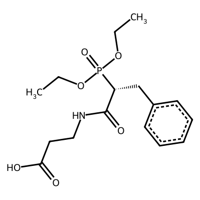 CCOP(=O)(OCC)[C@H](Cc1ccccc1)C(=O)NCCC(=O)O